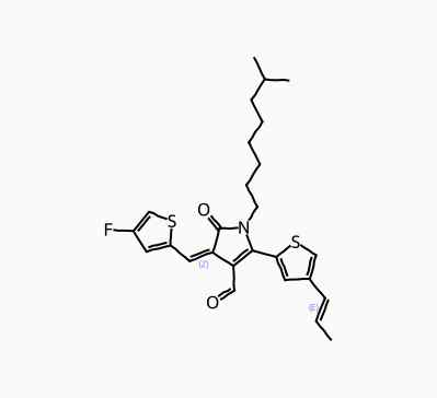 C/C=C/c1csc(C2=C(C=O)/C(=C/c3cc(F)cs3)C(=O)N2CCCCCCC(C)C)c1